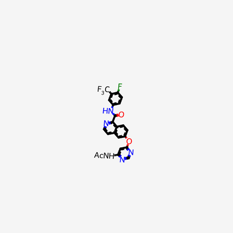 CC(=O)Nc1cc(Oc2ccc3c(C(=O)Nc4ccc(F)c(C(F)(F)F)c4)nccc3c2)ncn1